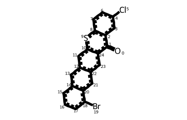 O=c1c2cc(Cl)ccc2sc2cc3cc4cccc(Br)c4cc3cc12